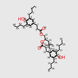 CCCCc1cc(CCC(=O)OCC(CC(C)(C)C)OC(=O)CCc2cc(CCCC)c(O)c(CCCC)c2)cc(CCCC)c1O